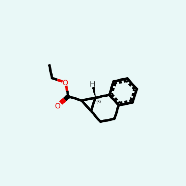 CCOC(=O)C1C2CCc3ccccc3[C@H]21